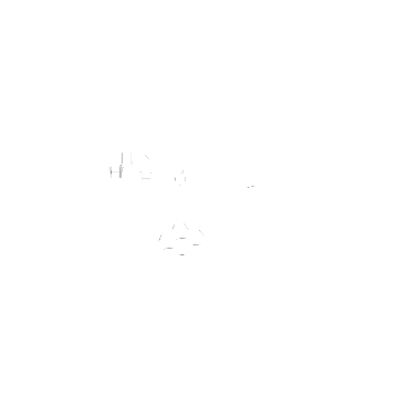 CCCCCCCC/C=C\CCCCCCCC(=O)O[C@H]1CC[C@@]2(C)C(=CC[C@H]3[C@@H]4CC[C@H](C(C)CCCC(C)C)[C@@]4(C)CC[C@@H]32)C1.c1cc2ccc3cccc4ccc(c1)c2c34